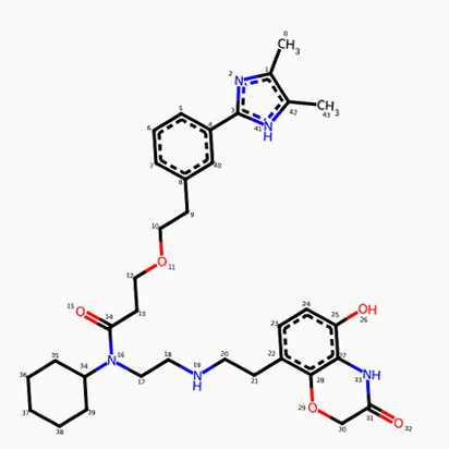 Cc1nc(-c2cccc(CCOCCC(=O)N(CCNCCc3ccc(O)c4c3OCC(=O)N4)C3CCCCC3)c2)[nH]c1C